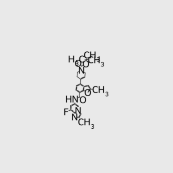 Cc1cn2cc(NC(=O)c3ccc(C4=CCN(C(=O)OC(C)(C)C)CC4)c4cc(C)oc34)cc(F)c2n1